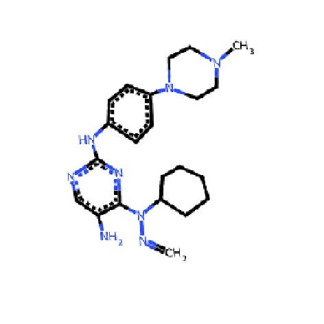 C=NN(c1nc(Nc2ccc(N3CCN(C)CC3)cc2)ncc1N)C1CCCCC1